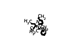 C=Cc1ccc(C)c(N(C(=C)Nc2ccccn2)C(CC)CCC)n1